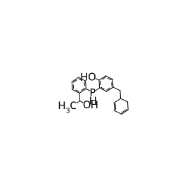 CC(O)c1ccccc1Pc1cc(CC2C=CC=CC2)ccc1O